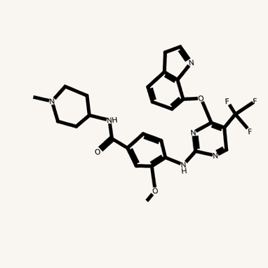 COc1cc(C(=O)NC2CCN(C)CC2)ccc1Nc1ncc(C(F)(F)F)c(Oc2cccc3c2N=CC3)n1